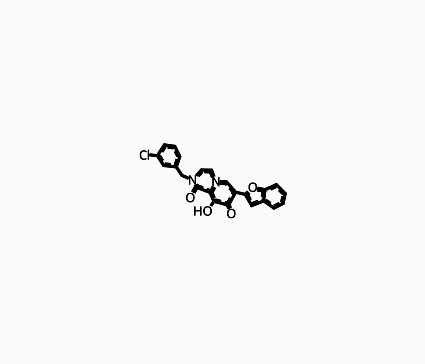 O=c1c(-c2cc3ccccc3o2)cn2ccn(Cc3cccc(Cl)c3)c(=O)c2c1O